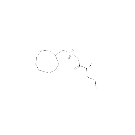 CC(C)CC[C@H](N)C(=O)NS(=O)(=O)CC1CCCCCCCC1